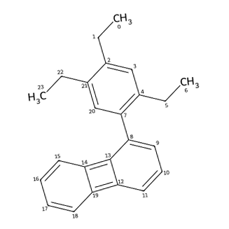 CCc1cc(CC)c(-c2cccc3c2=c2ccccc2=3)cc1CC